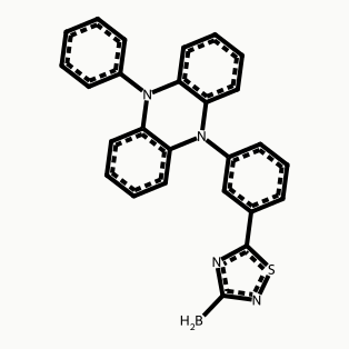 Bc1nsc(-c2cccc(N3c4ccccc4N(c4ccccc4)c4ccccc43)c2)n1